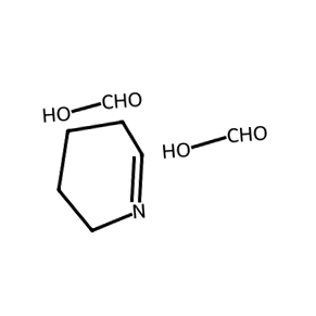 C1=NCCCC1.O=CO.O=CO